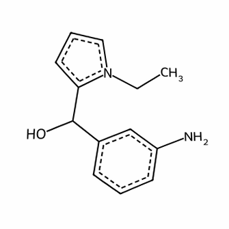 CCn1cccc1C(O)c1cccc(N)c1